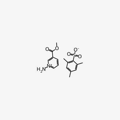 COC(=O)c1ccc[n+](N)c1.Cc1cc(C)c(S(=O)(=O)[O-])c(C)c1